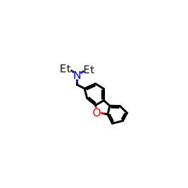 CCN(CC)Cc1ccc2c(c1)oc1ccccc12